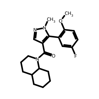 COc1ccc(F)cc1-c1c(C(=O)N2CCCC3CCCCC32)cnn1C